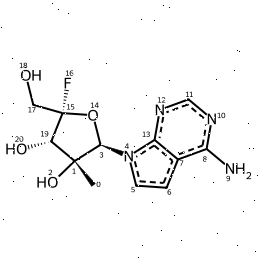 C[C@]1(O)[C@H](n2ccc3c(N)ncnc32)O[C@](F)(CO)[C@H]1O